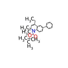 CCC1=CC(C)(C)N(C(=O)OC(C)(C)C)c2ccc(-c3ccccc3)cc21